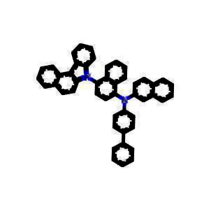 c1ccc(-c2ccc(N(c3ccc4ccccc4c3)c3ccc(-n4c5ccccc5c5c6ccccc6ccc54)c4ccccc34)cc2)cc1